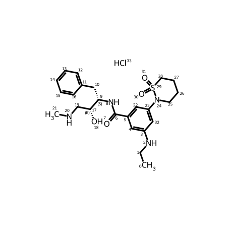 CCNc1cc(C(=O)N[C@@H](Cc2ccccc2)[C@H](O)CNC)cc(N2CCCCS2(=O)=O)c1.Cl